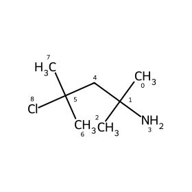 CC(C)(N)CC(C)(C)Cl